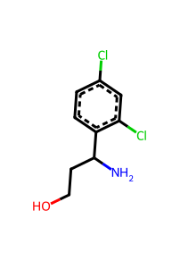 NC(CCO)c1ccc(Cl)cc1Cl